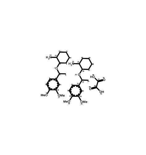 COc1ccc(C(C)OC2CCCCC2N)cc1OC.COc1ccc(C(C)OC2CCCCC2N)cc1OC.O=C(O)C(=O)O